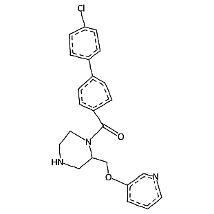 O=C(c1ccc(-c2ccc(Cl)cc2)cc1)N1CCNCC1COc1cccnc1